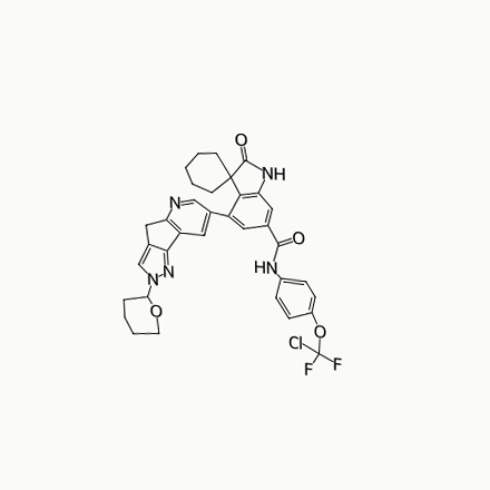 O=C(Nc1ccc(OC(F)(F)Cl)cc1)c1cc2c(c(-c3cnc4c(c3)-c3nn(C5CCCCO5)cc3C4)c1)C1(CCCCC1)C(=O)N2